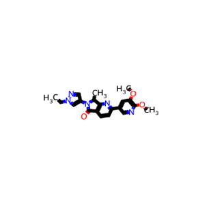 CCn1cc(N2C(=O)c3ccc(-c4cnc(OC)c(OC)c4)nc3C2C)cn1